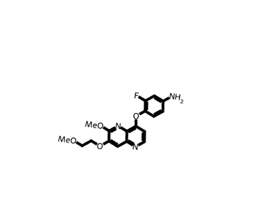 COCCOc1cc2nccc(Oc3ccc(N)cc3F)c2nc1OC